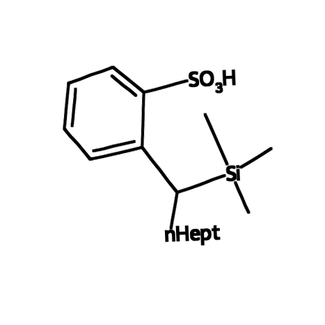 CCCCCCCC(c1ccccc1S(=O)(=O)O)[Si](C)(C)C